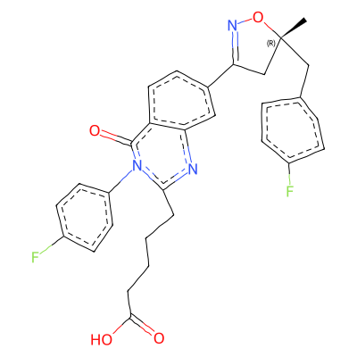 C[C@@]1(Cc2ccc(F)cc2)CC(c2ccc3c(=O)n(-c4ccc(F)cc4)c(CCCCC(=O)O)nc3c2)=NO1